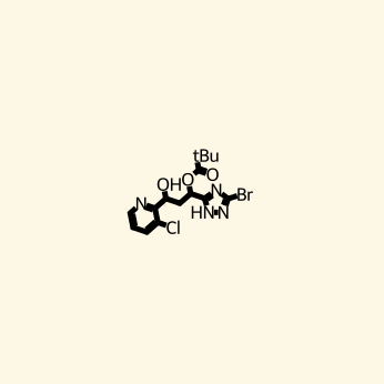 CC(C)(C)C(=O)OC(CC(O)c1ncccc1Cl)c1nc(Br)n[nH]1